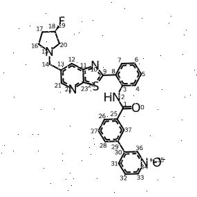 O=C(Nc1ccccc1-c1nc2cc(CN3CC[C@@H](F)C3)cnc2s1)c1cccc(-c2ccc[n+]([O-])c2)c1